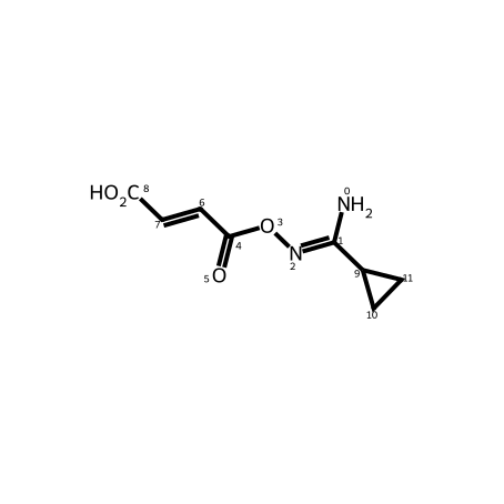 N/C(=N\OC(=O)C=CC(=O)O)C1CC1